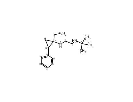 CC[C@@]1(NCCNC(C)(C)C)CC1c1ccccc1